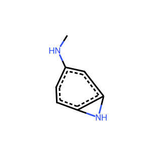 CNc1ccc2c(c1)N2